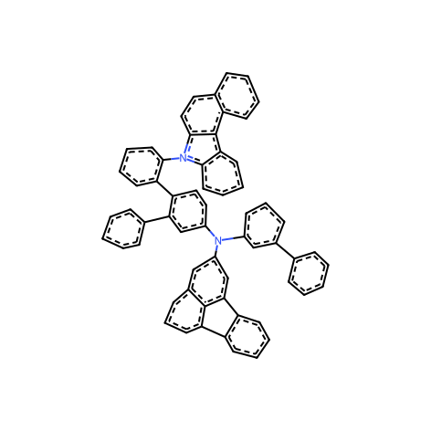 c1ccc(-c2cccc(N(c3ccc(-c4ccccc4-n4c5ccccc5c5c6ccccc6ccc54)c(-c4ccccc4)c3)c3cc4c5c(cccc5c3)-c3ccccc3-4)c2)cc1